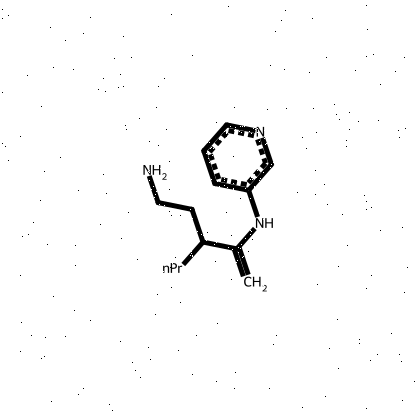 C=C(Nc1cccnc1)C(CCC)CCN